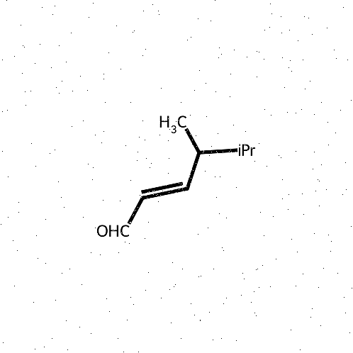 CC(C)C(C)C=CC=O